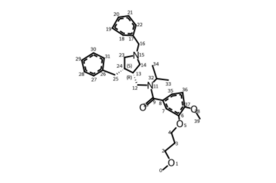 COCCCOc1cc(C(=O)N(C[C@H]2CN(Cc3ccccc3)C[C@H]2Cc2ccccc2)C(C)C)ccc1OC